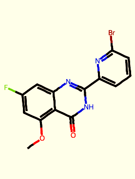 COc1cc(F)cc2nc(-c3cccc(Br)n3)[nH]c(=O)c12